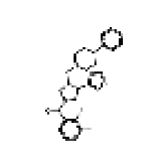 O=C(c1cccc(F)c1F)N1CC(CN2CCC(c3ccccc3)CC2)C(c2ccsc2)C1